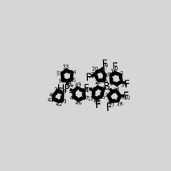 Fc1cc(F)cc([B-](c2cc(F)cc(F)c2)(c2cc(F)cc(F)c2)c2cc(F)cc(F)c2)c1.c1ccc([PH+](c2ccccc2)c2ccccc2)cc1